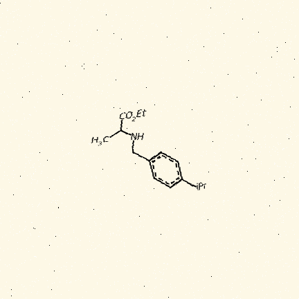 CCOC(=O)C(C)NCc1ccc(C(C)C)cc1